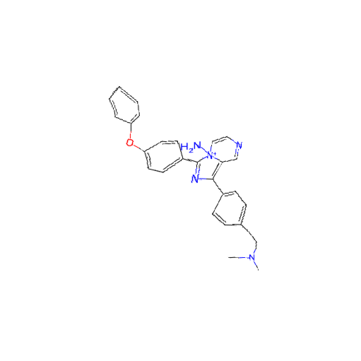 CN(C)Cc1ccc(C2=C3C=NC=C[N+]3(N)C(c3ccc(Oc4ccccc4)cc3)=N2)cc1